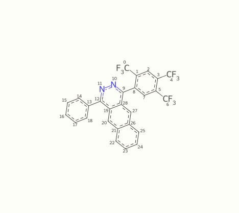 FC(F)(F)c1cc(C(F)(F)F)c(C(F)(F)F)cc1-c1nnc(-c2ccccc2)c2cc3ccccc3cc12